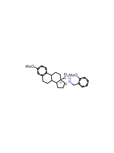 COc1ccc2c(c1)CCC1C2CC[C@@]2(C)C1CC[C@H]2NCc1ccccc1OC